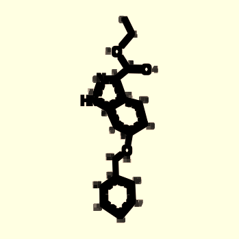 CCOC(=O)c1n[nH]c2cc(OCc3ccccc3)ccc12